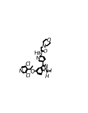 CC(Oc1ccc2c(c1)c(-c1ccc(NC(=O)CN3CCOCC3)nc1)nn2PI)c1c(Cl)cncc1Cl